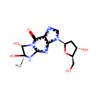 C[C@@]1(O)Nc2nc3c(ncn3[C@H]3C[C@H](O)[C@@H](CO)O3)c(=O)n2[C@H]1O